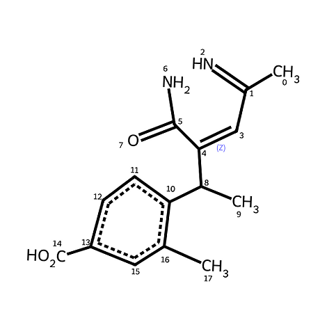 CC(=N)/C=C(\C(N)=O)C(C)c1ccc(C(=O)O)cc1C